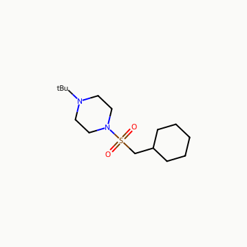 CC(C)(C)N1CCN(S(=O)(=O)CC2CCCCC2)CC1